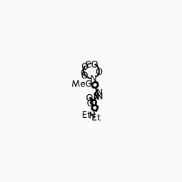 CCN(CC)c1ccc2cc(-n3cc(-c4ccc(N5CCOCCOCCOCCOCC5)c(OC)c4)nn3)c(=O)oc2c1